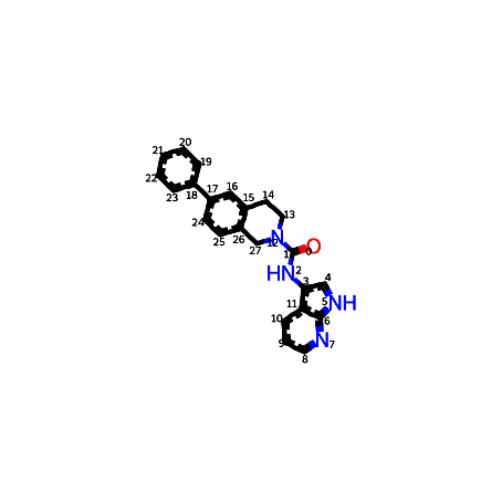 O=C(Nc1c[nH]c2ncccc12)N1CCc2cc(-c3ccccc3)ccc2C1